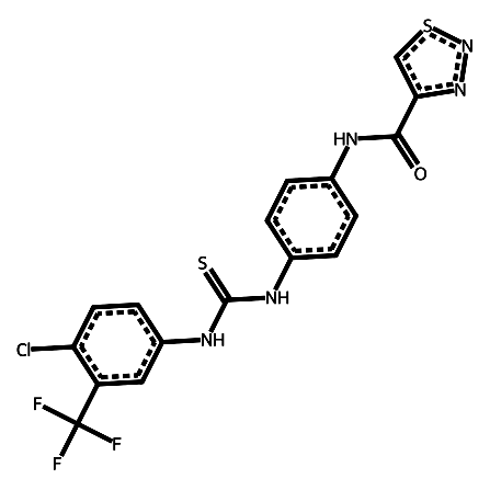 O=C(Nc1ccc(NC(=S)Nc2ccc(Cl)c(C(F)(F)F)c2)cc1)c1csnn1